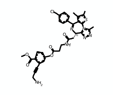 COC(=O)c1ccc(OC(=O)CCNC(=O)C[C@@H]2N=C(c3ccc(Cl)cc3)c3c(sc(C)c3C)-n3c(C)nnc32)cc1C#CCN